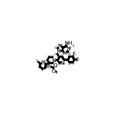 COC(=O)NC1(c2cccc(C)n2)CCCN(c2cnc(-c3ccc(F)c(F)c3)cc2Cn2cnc3c(N)ncnc32)C1